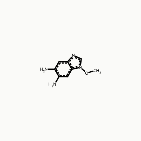 COn1cnc2cc(N)c(N)cc21